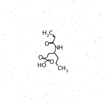 C=CC(=O)NC(CCC)CS(=O)(=O)O